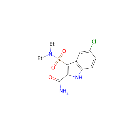 CCN(CC)S(=O)(=O)c1c(C(N)=O)[nH]c2ccc(Cl)cc12